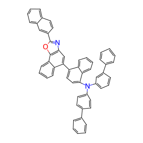 c1ccc(-c2ccc(N(c3cccc(-c4ccccc4)c3)c3ccc(-c4cc5nc(-c6ccc7ccccc7c6)oc5c5ccccc45)c4ccccc34)cc2)cc1